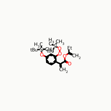 C=C(CC)OC(=O)C(=C)c1ccc(O[Si](C)(C)C(C)(C)C)cc1OO[Si](C)(C)C(C)(C)C